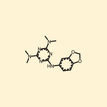 CN(C)c1nc(Nc2ccc3c(c2)OCO3)nc(N(C)C)n1